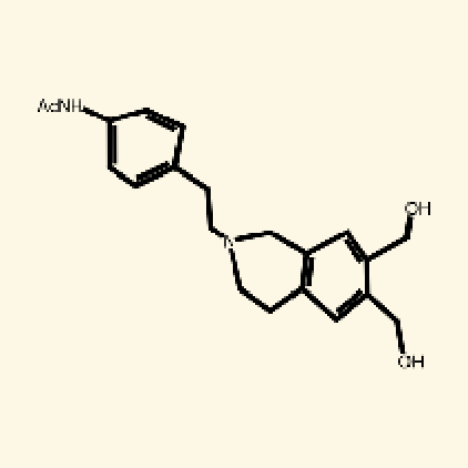 CC(=O)Nc1ccc(CCN2CCc3cc(CO)c(CO)cc3C2)cc1